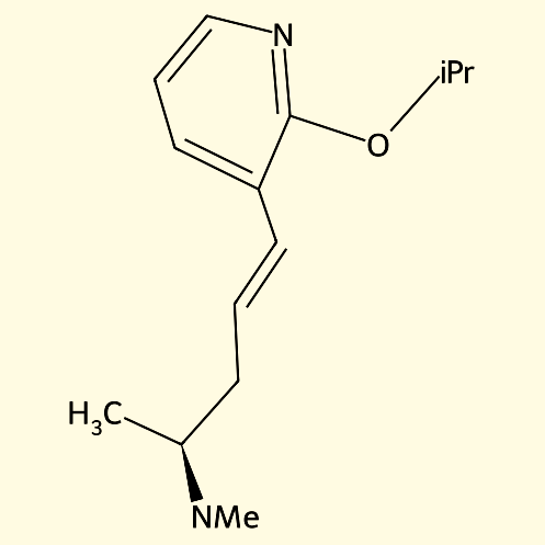 CN[C@@H](C)CC=Cc1cccnc1OC(C)C